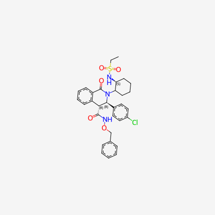 CCS(=O)(=O)N[C@H]1CCCCC1N1C(=O)c2ccccc2[C@@H](C(=O)NOCc2ccccc2)[C@@H]1c1ccc(Cl)cc1